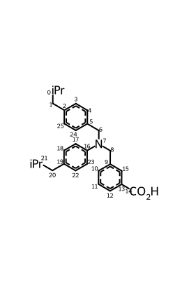 CC(C)Cc1ccc(CN(Cc2cccc(C(=O)O)c2)c2ccc(CC(C)C)cc2)cc1